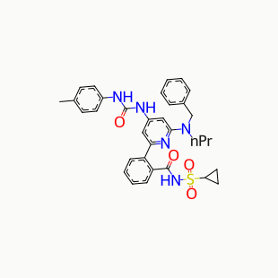 CCCN(Cc1ccccc1)c1cc(NC(=O)Nc2ccc(C)cc2)cc(-c2ccccc2C(=O)NS(=O)(=O)C2CC2)n1